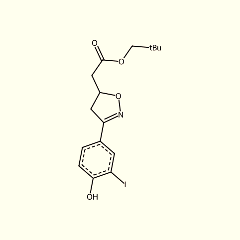 CC(C)(C)COC(=O)CC1CC(c2ccc(O)c(I)c2)=NO1